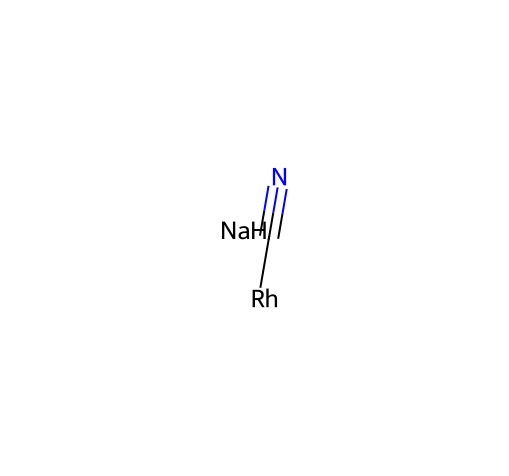 N#[C][Rh].[NaH]